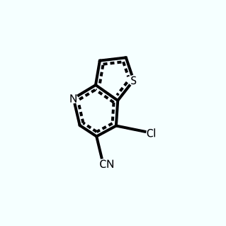 N#Cc1cnc2ccsc2c1Cl